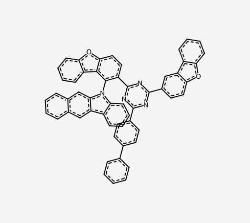 c1ccc(-c2ccc(-c3nc(-c4ccc5oc6ccccc6c5c4)nc(-c4ccc5oc6ccccc6c5c4-n4c5ccccc5c5cc6ccccc6cc54)n3)cc2)cc1